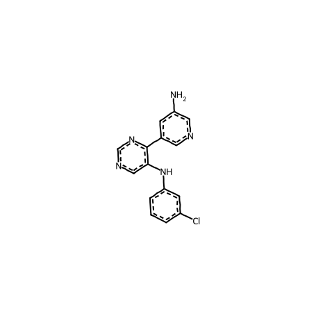 Nc1cncc(-c2ncncc2Nc2cccc(Cl)c2)c1